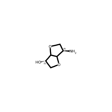 N[C@@H]1COC2C1OC[C@@H]2O